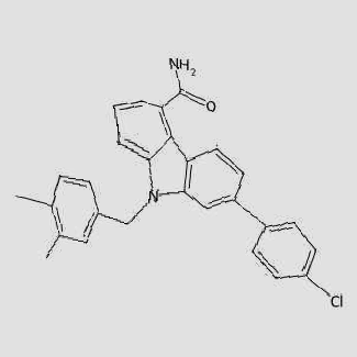 Cc1ccc(Cn2c3cc(-c4ccc(Cl)cc4)c[c]c3c3c(C(N)=O)cccc32)cc1C